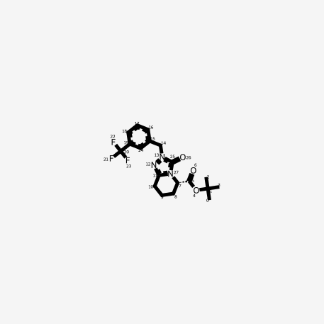 CC(C)(C)OC(=O)[C@@H]1CCCc2nn(Cc3cccc(C(F)(F)F)c3)c(=O)n21